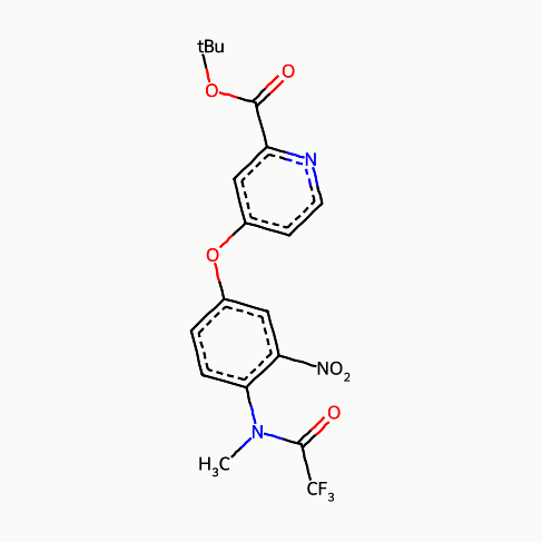 CN(C(=O)C(F)(F)F)c1ccc(Oc2ccnc(C(=O)OC(C)(C)C)c2)cc1[N+](=O)[O-]